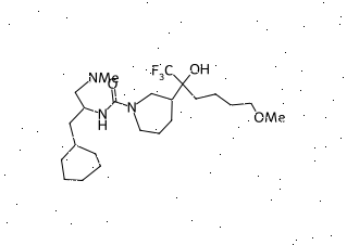 CNCC(CC1CCCCC1)NC(=O)N1CCCC(C(O)(CCCCOC)C(F)(F)F)C1